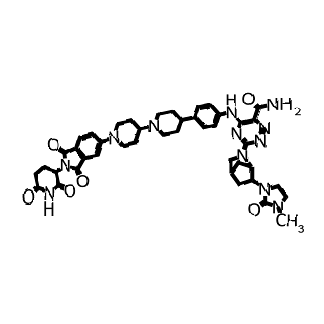 CN1CCN(C2CC3CC2N(c2nnc(C(N)=O)c(Nc4ccc(C5CCN(C6CCN(c7ccc8c(c7)C(=O)N(C7CCC(=O)NC7=O)C8=O)CC6)CC5)cc4)n2)C3)C1=O